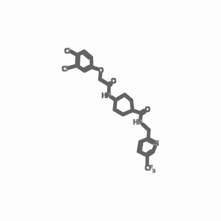 O=C(COc1ccc(Cl)c(Cl)c1)NC1CCC(C(=O)NCc2ccc(C(F)(F)F)cn2)CC1